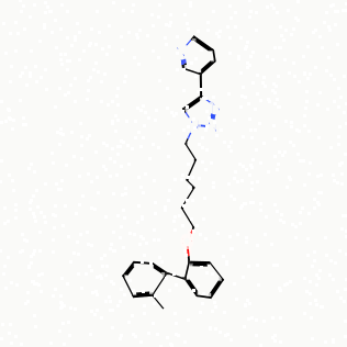 Cc1ccccc1-c1ccccc1OCCCCCCn1cc(-c2cccnc2)nn1